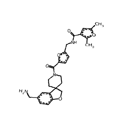 Cc1cc(C(=O)NCc2ccc(C(=O)N3CCC4(CC3)COc3ccc(CN)cc34)o2)c(C)o1